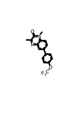 Cc1nc2cc(-c3ccc(OC(F)(F)F)cc3)ccc2n(C)c1=O